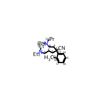 CCN(CC)CCCC(C#N)(CCN(C(C)C)C(C)C)c1ccccc1C